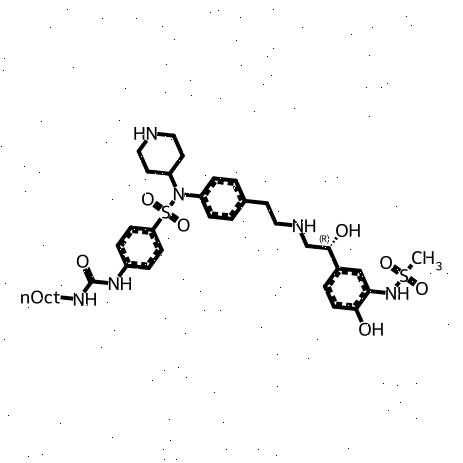 CCCCCCCCNC(=O)Nc1ccc(S(=O)(=O)N(c2ccc(CCNC[C@H](O)c3ccc(O)c(NS(C)(=O)=O)c3)cc2)C2CCNCC2)cc1